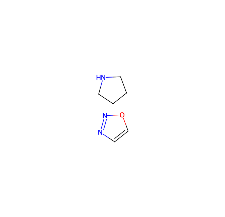 C1CCNC1.c1conn1